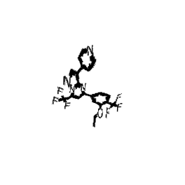 CCOc1cc(-c2cc(C(F)(F)F)n3ncc(-c4ccncc4)c3n2)ccc1C(F)(F)F